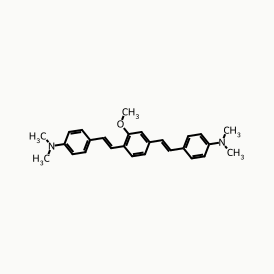 COc1cc(/C=C/c2ccc(N(C)C)cc2)ccc1/C=C/c1ccc(N(C)C)cc1